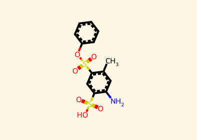 Cc1cc(N)c(S(=O)(=O)O)cc1S(=O)(=O)Oc1ccccc1